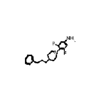 Nc1cc(F)c(N2CCC(CCCc3ccccc3)CC2)c(F)c1